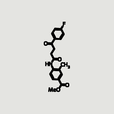 COC(=O)c1ccc(NC(=O)CCC(=O)c2ccc(F)cc2)c(C)c1